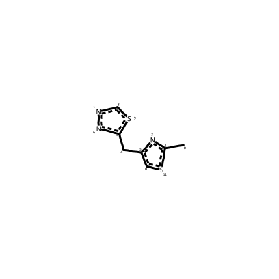 Cc1nc(Cc2nncs2)cs1